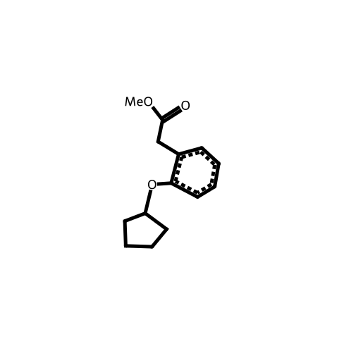 COC(=O)Cc1ccccc1OC1CCCC1